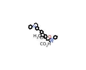 CC1(C)c2cc(/C=C3\C(=O)N(c4ccccc4)N=C3C(=O)O)ccc2-c2ccc(-c3ccc4c(c3)CCCN4c3ccccc3)cc21